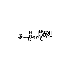 O=C(CCCC[C@@H]1CCSS1)NCCOCCNC(=O)c1cc(O)c(O)c(O)c1